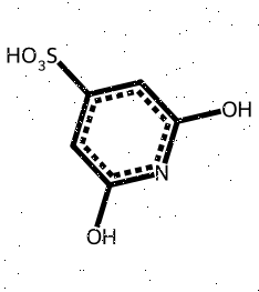 O=S(=O)(O)c1cc(O)nc(O)c1